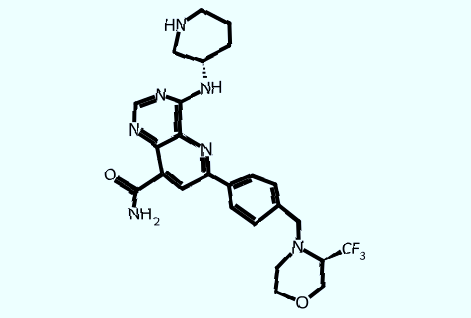 NC(=O)c1cc(-c2ccc(CN3CCOC[C@@H]3C(F)(F)F)cc2)nc2c(N[C@H]3CCCNC3)ncnc12